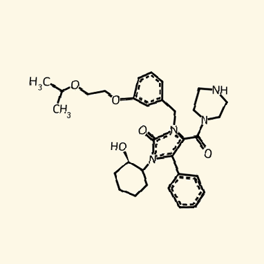 CC(C)OCCOc1cccc(Cn2c(C(=O)N3CCNCC3)c(-c3ccccc3)n(C3CCCC[C@H]3O)c2=O)c1